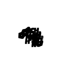 C[C@H]1Cc2cc3c(c(NC(=O)N=[S@](N)(=O)c4cnn5c4OCCC5)c21)CCC3